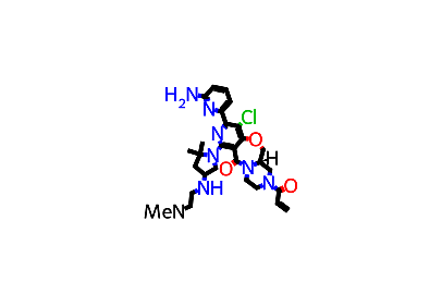 C=CC(=O)N1CCN2C(=O)c3c(N4CC(NCCNC)CC4(C)C)nc(-c4cccc(N)n4)c(Cl)c3OC[C@H]2C1